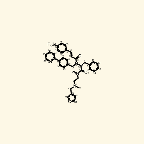 CN(CCN(C)C(=O)[C@H](Cc1ccccc1)N(Cc1ccc(-c2ccccn2)cc1)C(=O)C=Cc1ccc(C(F)(F)F)cc1)Cc1ccoc1